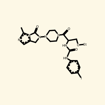 CCOCC(NC(=O)Nc1ccc(I)cc1)C(=O)N1CCN(N2Cc3cnc(C)n3C2=O)CC1